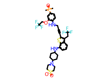 CP(C)(=O)c1ccc(NCC#Cc2sc3c(NC4CCC(N5CCS(=O)(=O)CC5)CC4)cccc3c2CC(F)(F)F)c(OCC(F)(F)F)c1